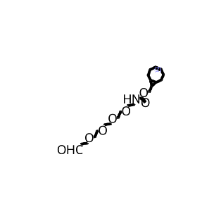 O=CCCOCCOCCOCCOCCNC(=O)OCC1C2CC/C=C\CCC21